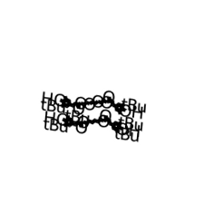 CC(C)(C)c1cc(CCC(=O)OCCCCCCOC(=O)CCc2cc(C(C)(C)C)c(O)c(C(C)(C)C)c2)cc(C(C)(C)C)c1O.Cc1cc(CCC(=O)OCCOCCOCCOC(=O)CCc2cc(C)c(O)c(C(C)(C)C)c2)cc(C(C)(C)C)c1O